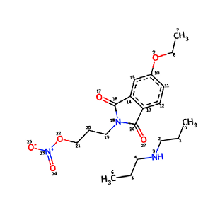 CCCNCCC.CCOc1ccc2c(c1)C(=O)N(CCCO[N+](=O)[O-])C2=O